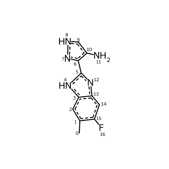 Cc1cc2[nH]c(-c3n[nH]cc3N)nc2cc1F